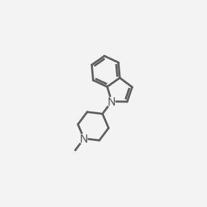 CN1CCC(n2ccc3ccccc32)CC1